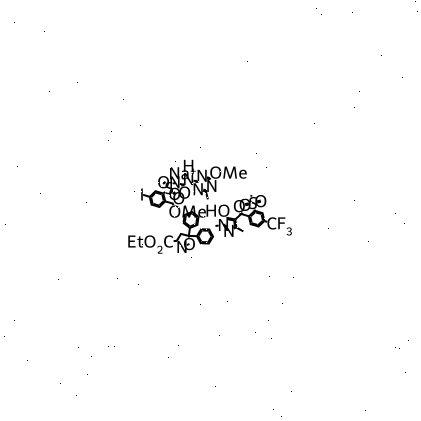 CCOC(=O)C1=NOC(c2ccccc2)(c2ccccc2)C1.COC(=O)c1ccc(I)cc1S(=O)(=O)[N-]C(=O)Nc1nc(C)nc(OC)n1.Cc1nn(C)c(O)c1C(=O)c1ccc(C(F)(F)F)cc1S(C)(=O)=O.[Na+]